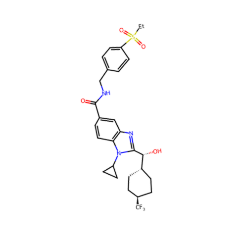 CCS(=O)(=O)c1ccc(CNC(=O)c2ccc3c(c2)nc([C@H](O)[C@H]2CC[C@H](C(F)(F)F)CC2)n3C2CC2)cc1